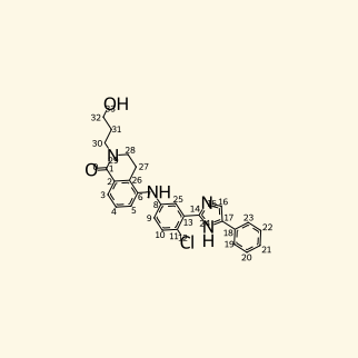 O=C1c2cccc(Nc3ccc(Cl)c(-c4ncc(-c5ccccc5)[nH]4)c3)c2CCN1CCCO